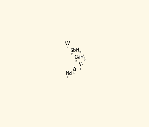 [GaH3].[Nd].[SbH3].[V].[W].[Zr]